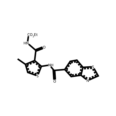 CCOC(=O)NC(=O)c1c(C)csc1NC(=O)c1ccc2scnc2c1